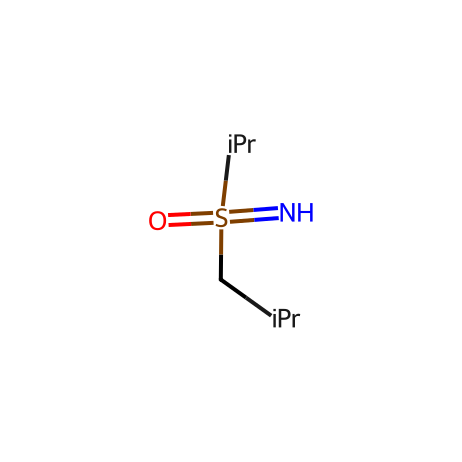 CC(C)CS(=N)(=O)C(C)C